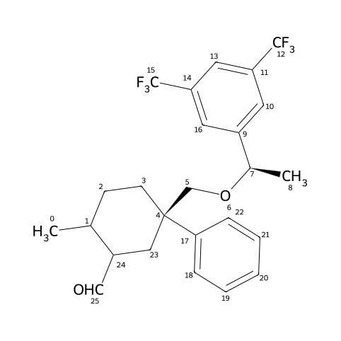 CC1CC[C@](CO[C@H](C)c2cc(C(F)(F)F)cc(C(F)(F)F)c2)(c2ccccc2)CC1C=O